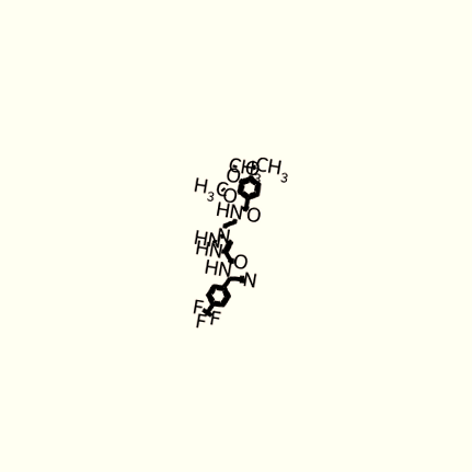 COc1ccc(C(=O)NCCN2C=C(C(=O)NC(C#N)c3ccc(C(F)(F)F)cc3)NN2)c(OC)c1OC